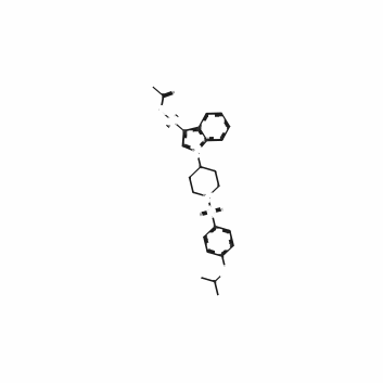 CC(=O)NS(=O)(=O)c1cn(C2CCN(S(=O)(=O)c3ccc(OC(C)C)cc3)CC2)c2ccccc12